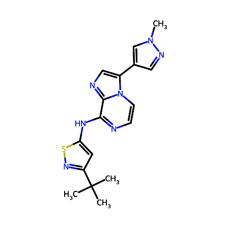 Cn1cc(-c2cnc3c(Nc4cc(C(C)(C)C)ns4)nccn23)cn1